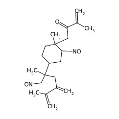 C=C(C)C(=C)CC(C)(CN=O)C1CCC(C)(CC(=O)C(=C)C)C(N=O)C1